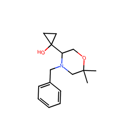 CC1(C)CN(Cc2ccccc2)C(C2(O)CC2)CO1